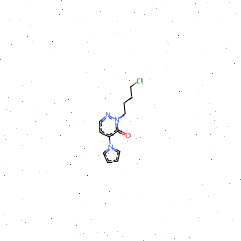 O=c1c(-n2cccc2)ccnn1CCCCCl